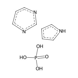 O=P(O)(O)O.c1cc[nH]c1.c1cncnc1